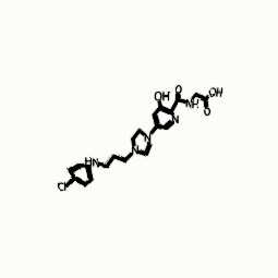 O=C(O)CNC(=O)c1ncc(N2CCN(CCCNc3ccc(Cl)cc3)CC2)cc1O